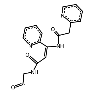 O=[C]CNC(=O)C=C(NC(=O)Cc1ccccn1)c1ccccn1